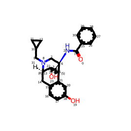 O=C(N[C@H]1C[C@@]23CCN(CC4CC4)[C@H](Cc4ccc(O)cc42)[C@]3(O)C1)c1ccccc1